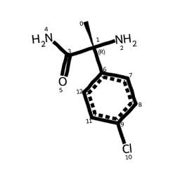 C[C@](N)(C(N)=O)c1ccc(Cl)cc1